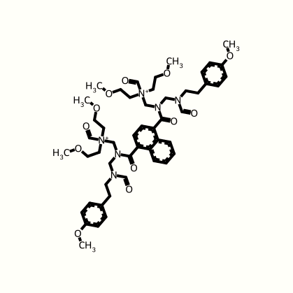 COCC[N+](C=O)(CCOC)CN(CN(C=O)CCc1ccc(OC)cc1)C(=O)c1ccc(C(=O)N(CN(C=O)CCc2ccc(OC)cc2)C[N+](C=O)(CCOC)CCOC)c2ccccc12